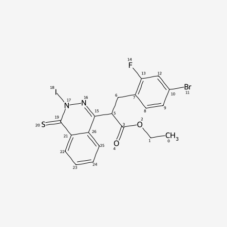 CCOC(=O)C(Cc1ccc(Br)cc1F)c1nn(I)c(=S)c2ccccc12